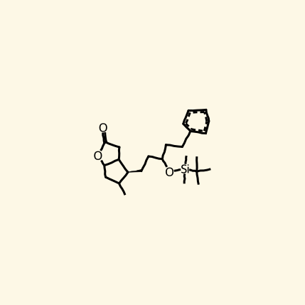 CC1CC2OC(=O)CC2[C@H]1CCC(CCc1ccccc1)O[Si](C)(C)C(C)(C)C